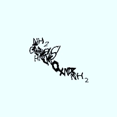 CC(C)(N)C(=O)N1CCN(C(=O)Nc2ccn(-c3ccc(C(C)(C)CN4CC5CC5(CN)C4)cc3)c(=O)n2)CC1.Cl